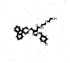 O=C(NCCOCCO)c1c(CN2CCC(c3ccccc3)(c3ccccc3)CC2)ncn1Cc1ccc(Cl)cc1